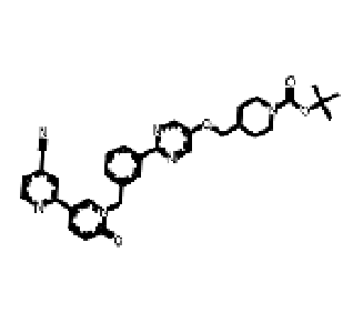 CC(C)(C)OC(=O)N1CCC(COc2cnc(-c3cccc(Cn4cc(-c5cc(C#N)ccn5)ccc4=O)c3)nc2)CC1